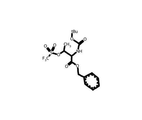 CC(OS(=O)(=O)C(F)(F)F)C(NC(=O)OC(C)(C)C)C(=O)OCc1ccccc1